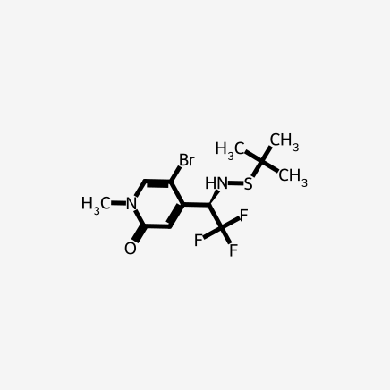 Cn1cc(Br)c([C@@H](NSC(C)(C)C)C(F)(F)F)cc1=O